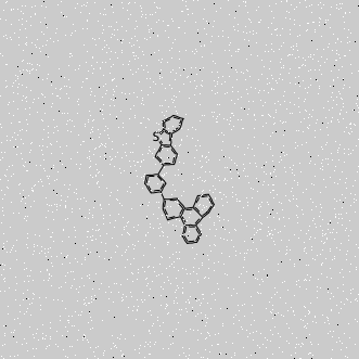 c1cc(-c2ccc3c(c2)sc2ccccc23)cc(-c2ccc3c4ccccc4c4ccccc4c3c2)c1